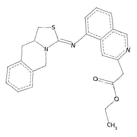 CCOC(=O)Cc1cc2c(N=C3SCC4Cc5ccccc5CN34)cccc2cn1